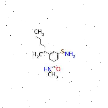 C=C(CCCCC)C1=CC(SN)=CC(C(=O)NC)C1